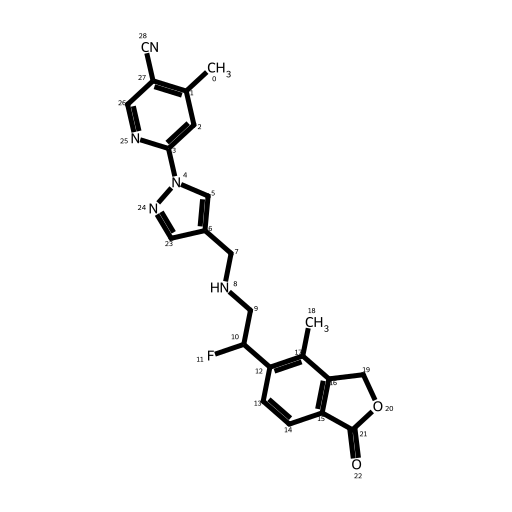 Cc1cc(-n2cc(CNCC(F)c3ccc4c(c3C)COC4=O)cn2)ncc1C#N